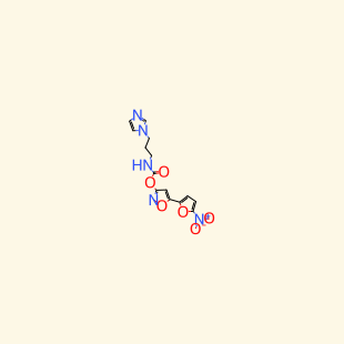 O=C(NCCCn1ccnc1)Oc1cc(-c2ccc([N+](=O)[O-])o2)on1